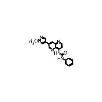 Cn1cc(-c2cnc3c(NC(=O)Nc4ccccc4)ccnc3c2)cn1